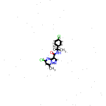 Cc1cc(Cl)nc2c(C(=O)NC(C)(C)c3ccc(Cl)cc3)cnn12